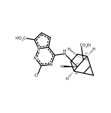 CCOC(=O)[C@@H]1[C@@H](Nc2nc(Cl)nn3c(C(=O)O)ccc23)[C@@H]2CC[C@H]1C1CC12